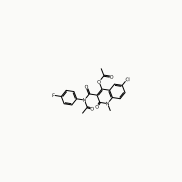 CC(=O)Oc1c(C(=O)N(C(C)=O)c2ccc(F)cc2)c(=O)n(C)c2ccc(Cl)cc12